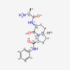 C[C@H](N)C(=O)N[C@H]1CC[C@H]2CC[C@@H](C(=O)Nc3ccccc3)N2C1=O